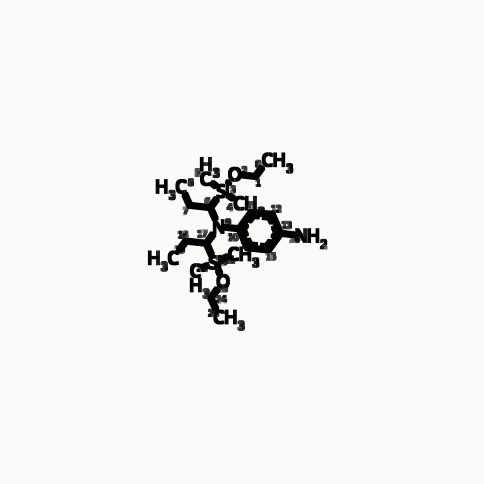 CCO[Si](C)(C)C(CC)N(c1ccc(N)cc1)C(CC)[Si](C)(C)OCC